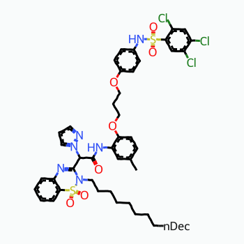 CCCCCCCCCCCCCCCCCCN1C(C(C(=O)Nc2cc(C)ccc2OCCCOc2ccc(NS(=O)(=O)c3cc(Cl)c(Cl)cc3Cl)cc2)n2cccn2)=Nc2ccccc2S1(=O)=O